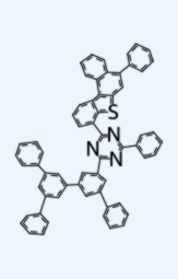 c1ccc(-c2cc(-c3ccccc3)cc(-c3cc(-c4ccccc4)cc(-c4nc(-c5ccccc5)nc(-c5cccc6c5sc5cc(-c7ccccc7)c7ccccc7c56)n4)c3)c2)cc1